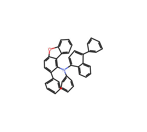 c1ccc(-c2ccc3oc4ccccc4c3c2N(c2ccccc2)c2ccc(-c3ccccc3)c3ccccc23)cc1